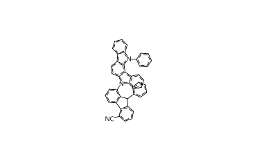 N#Cc1cccc2c1-c1cccc(-n3c4ccccc4c4c3ccc3c5ccccc5n(-c5ccccc5)c34)c1C2c1ccccc1